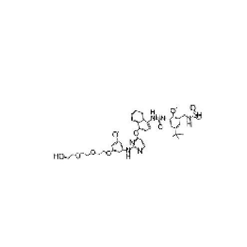 COc1cc(Nc2nccc(Oc3ccc(NC(=O)Nc4cc(C(C)(C)C)cc(CN[SH](=O)=O)c4OC)c4ccccc34)n2)cc(OCCOCCOCCO)c1